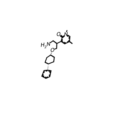 Cc1cc(C(CN)CO[C@H]2CC[C@@H](c3ccccc3)CC2)c(=O)n(C)c1